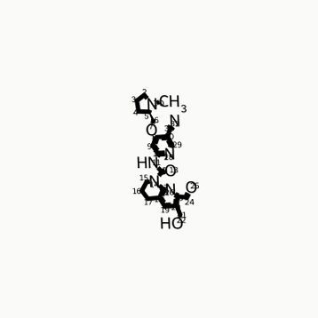 CN1CCC[C@@H]1COc1cc(NC(=O)N2CCCc3cc(CO)c(C=O)nc32)ncc1C#N